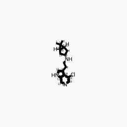 CC1(C)[C@@H]2C[C@H](NCCc3c[nH]c4cncc(Cl)c34)C[C@@H]21